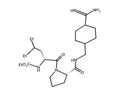 CCOC(=O)N[C@H](CC(CC)CC)C(=O)N1CCC[C@H]1C(=O)NCC1CCC(C(=N)N)CC1